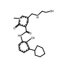 Cn1cc(CNCCO)cc(C(=O)Nc2cccc(C3CCCCC3)c2C#N)c1=O